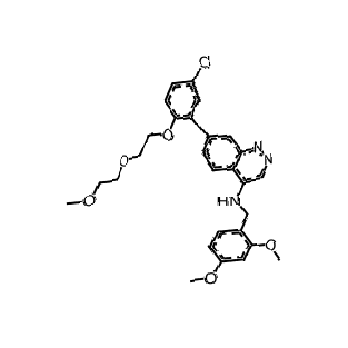 COCCOCCOc1ccc(Cl)cc1-c1ccc2c(NCc3ccc(OC)cc3OC)cnnc2c1